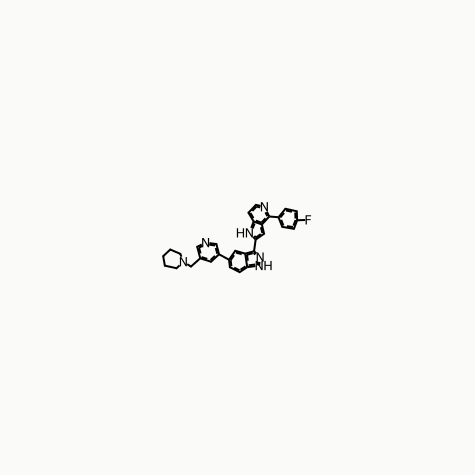 Fc1ccc(-c2nccc3[nH]c(-c4n[nH]c5ccc(-c6cncc(CN7CCCCC7)c6)cc45)cc23)cc1